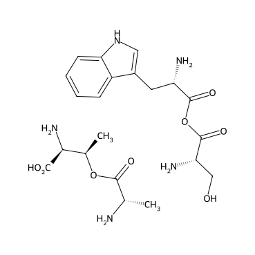 C[C@H](N)C(=O)O[C@H](C)[C@H](N)C(=O)O.N[C@@H](CO)C(=O)OC(=O)[C@@H](N)Cc1c[nH]c2ccccc12